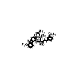 CCC(C)[C@H](NC(=O)CCc1cccc(OC)c1)C(=O)N[C@]1(C(=O)N[C@H](C(N)=S)C(C)CC)CCc2[nH]c3c(C(F)(F)F)cccc3c2C1